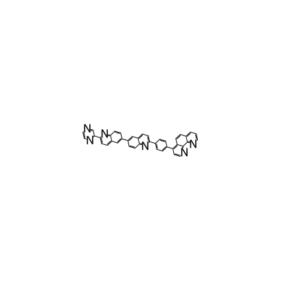 c1cnc2c(c1)ccc1c(-c3ccc(-c4ccc5cc(-c6ccc7nc(-c8cnccn8)ccc7c6)ccc5n4)cc3)ccnc12